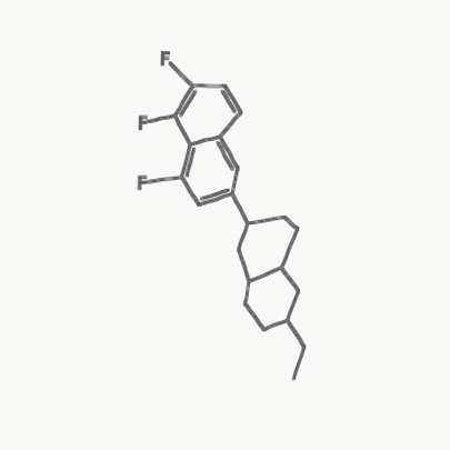 CCC1CCC2CC(c3cc(F)c4c(F)c(F)ccc4c3)CCC2C1